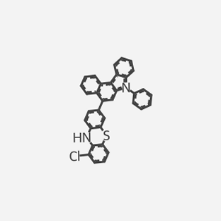 Clc1cccc2c1Nc1ccc(-c3cc4c(c5ccccc35)c3ccccc3n4-c3ccccc3)cc1S2